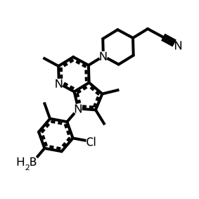 Bc1cc(C)c(-n2c(C)c(C)c3c(N4CCC(CC#N)CC4)cc(C)nc32)c(Cl)c1